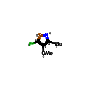 COc1c(C(C)(C)C)nsc1F